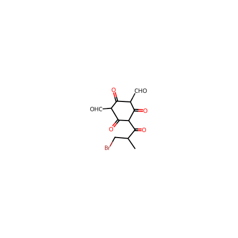 CC(CBr)C(=O)C1C(=O)C(C=O)C(=O)C(C=O)C1=O